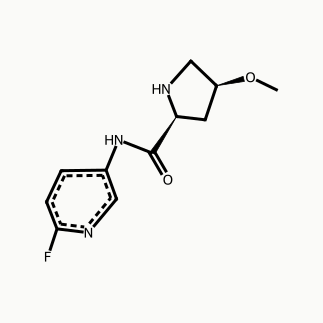 CO[C@@H]1CN[C@H](C(=O)Nc2ccc(F)nc2)C1